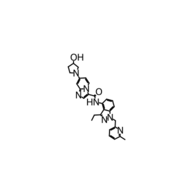 CCc1nn(Cc2cccc(C)n2)c2cccc(NC(=O)c3cnc4cc(N5CCC(O)C5)ccn34)c12